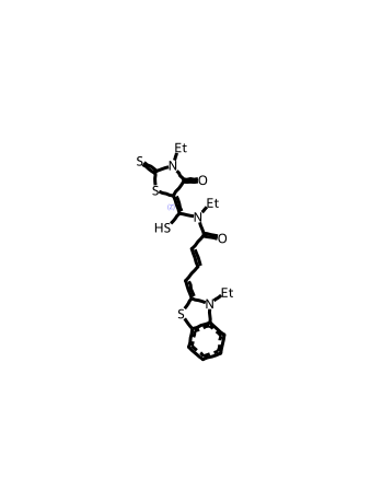 CCN1C(=O)/C(=C(/S)N(CC)C(=O)C=CC=C2Sc3ccccc3N2CC)SC1=S